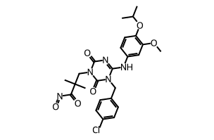 COc1cc(Nc2nc(=O)n(CC(C)(C)C(=O)N=O)c(=O)n2Cc2ccc(Cl)cc2)ccc1OC(C)C